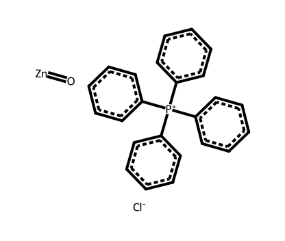 [Cl-].[O]=[Zn].c1ccc([P+](c2ccccc2)(c2ccccc2)c2ccccc2)cc1